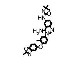 Cc1nc2cc(Oc3ccc(N4C=Nc5ccc(NC6=NC(C)(C)CO6)cc5C4N)cc3C)ccc2o1